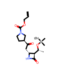 C=CCOC(=O)N1CC[C@H](C(=O)C[C@H]2NC(=O)[C@@H]2[C@@H](C)O[Si](C)(C)C(C)(C)C)C1